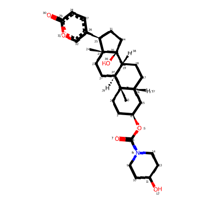 C[C@]12CC[C@H](OC(=O)N3CCC(O)CC3)C[C@H]1CC[C@@H]1[C@@H]2CC[C@]2(C)[C@@H](c3ccc(=O)oc3)CC[C@]12O